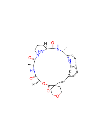 CC(C)[C@@H]1OC(=O)C2(/C=C/c3ccc4ccc(nc4c3)[C@@H](C)NC(=O)[C@@H]3CCCN(N3)C(=O)[C@H](C)NC1=O)CCOCC2